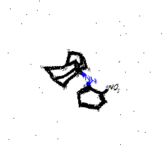 O=[N+]([O-])c1ccccc1NC12CC3CC(CC(C3)C1)C2